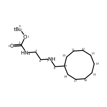 CC(C)(C)OC(=O)NCCNCC1CCCCCCCCC1